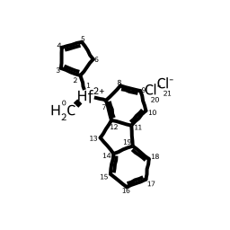 [CH2]=[Hf+2]([C]1=CC=CC1)[c]1cccc2c1Cc1ccccc1-2.[Cl-].[Cl-]